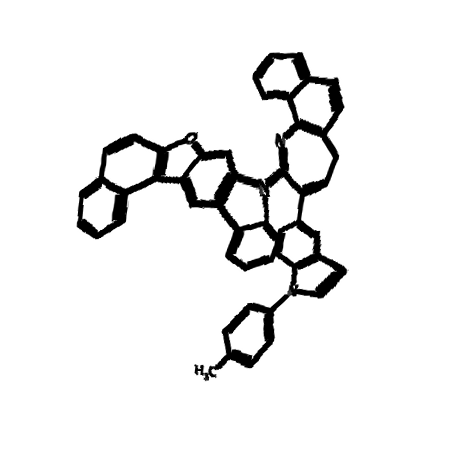 Cc1ccc(-n2ccc3cc(C4=CCc5ccc6ccccc6c5N=C4n4c5ccccc5c5cc6c(cc54)oc4ccc5ccccc5c46)ccc32)cc1